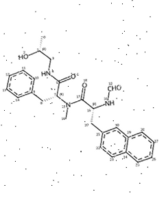 C[C@@H](O)CNC(=O)[C@@H](Cc1ccccc1)N(C)C(=O)[C@@H](Cc1ccc2ccccc2c1)NC=O